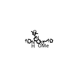 COc1cc2c(NC3CCN(C)CC3)cc(-c3cc(C)oc3C)nc2cc1OCCCN1CCCC1